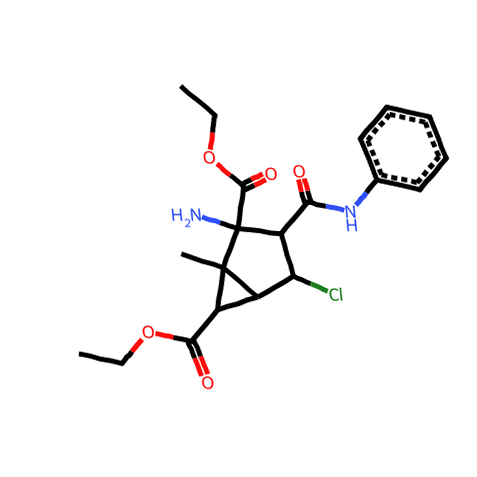 CCOC(=O)C1C2C(Cl)C(C(=O)Nc3ccccc3)C(N)(C(=O)OCC)C12C